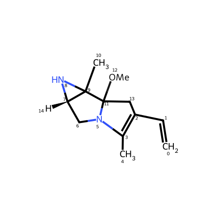 C=CC1=C(C)N2C[C@@H]3NC3(C)C2(OC)C1